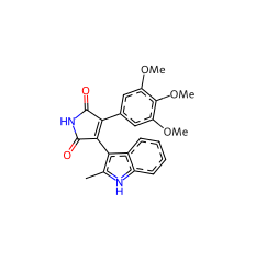 COc1cc(C2=C(c3c(C)[nH]c4ccccc34)C(=O)NC2=O)cc(OC)c1OC